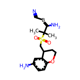 CC(C)(C(N)=BC#N)S(=O)(=O)CC1CCOc2ccc(N)cc21